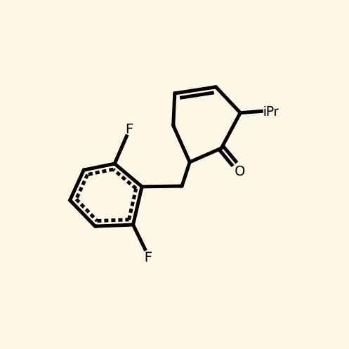 CC(C)C1C=CCC(Cc2c(F)cccc2F)C1=O